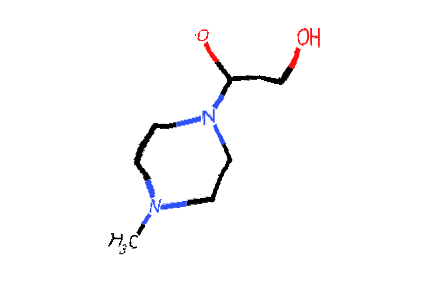 CN1CCN(C([O])CO)CC1